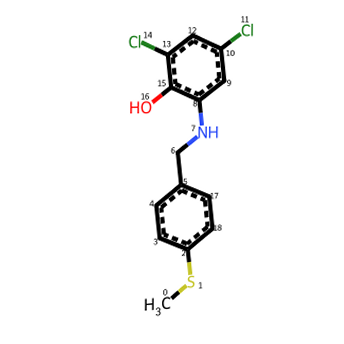 CSc1ccc(CNc2cc(Cl)cc(Cl)c2O)cc1